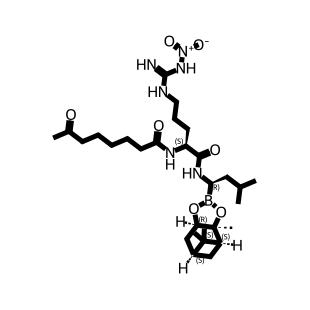 CC(=O)CCCCCC(=O)N[C@@H](CCCNC(=N)N[N+](=O)[O-])C(=O)N[C@@H](CC(C)C)B1O[C@@H]2C[C@@H]3C[C@@H](C3(C)C)[C@]2(C)O1